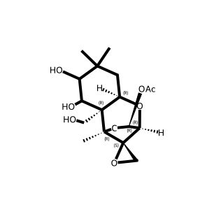 CC(=O)O[C@@H]1C[C@@]2(C)[C@]3(CO3)[C@@H]1O[C@@H]1CC(C)(C)C(O)C(O)[C@@]12CO